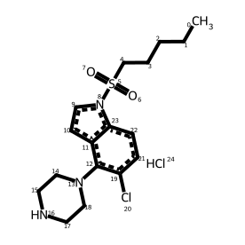 CCCCCS(=O)(=O)n1ccc2c(N3CCNCC3)c(Cl)ccc21.Cl